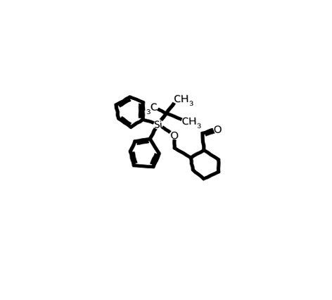 CC(C)(C)[Si](OCC1CCCCC1C=O)(c1ccccc1)c1ccccc1